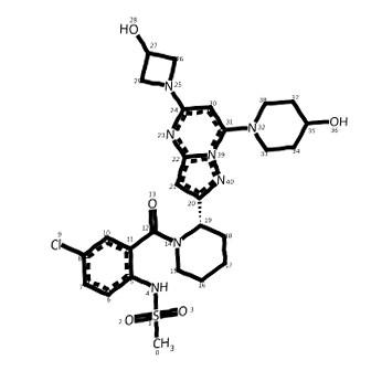 CS(=O)(=O)Nc1ccc(Cl)cc1C(=O)N1CCCC[C@H]1c1cc2nc(N3CC(O)C3)cc(N3CCC(O)CC3)n2n1